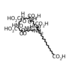 NCCCC[C@H](N)C(=O)OC(=O)CC[C@H](NC(=O)CC[C@H](NC(=O)CC[C@H](NC(=O)CC[C@H](NC(=O)CCCCCCCCCCCCCCCCCCC(=O)O)C(=O)O)C(=O)O)C(=O)O)C(=O)O